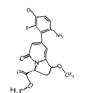 COC(=O)[C@@H]1CC(OC)c2cc(-c3c(N)ccc(Cl)c3F)cc(=O)n21